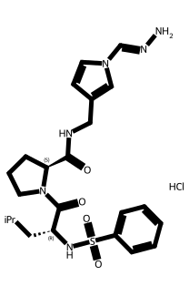 CC(C)C[C@@H](NS(=O)(=O)c1ccccc1)C(=O)N1CCC[C@H]1C(=O)NCc1ccn(C=NN)c1.Cl